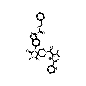 CC(C)[C@@H](NC(=O)c1ccccn1)C(=O)N1CCC2(CC1)C(=O)N(C)C(=O)N2c1ccc2c(cnn2C(=O)OCc2ccccc2)c1